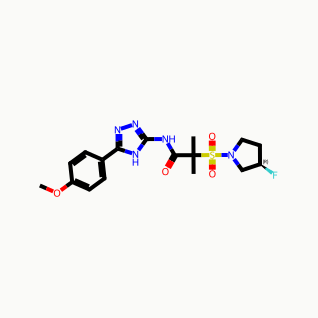 COc1ccc(-c2nnc(NC(=O)C(C)(C)S(=O)(=O)N3CC[C@@H](F)C3)[nH]2)cc1